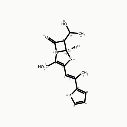 C/C(=C\C1=C(C(=O)O)N2C(=O)C(C(C)O)[C@H]2S1)c1cccs1